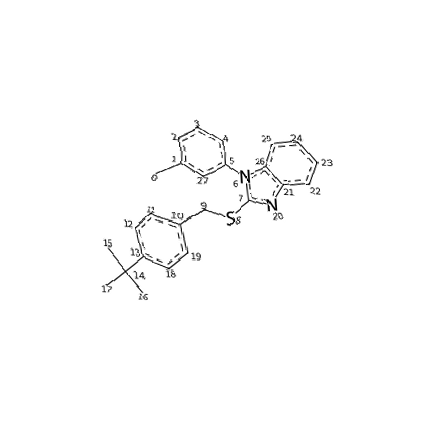 Cc1cccc(-n2c(SCc3ccc(C(C)(C)C)cc3)nc3ccccc32)c1